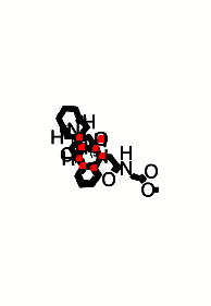 COC(=O)CNC(=O)Cn1c(=O)n([C@H]2C[C@H]3CCC[C@@H](C2)N3[C@H]2C[C@@H]3CCC[C@@H](C3)C2)c(=O)c2ccccc21